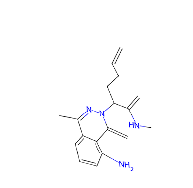 C=CCCC(C(=C)NC)N1N=C(C)c2cccc(N)c2C1=C